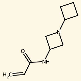 C=CC(=O)NC1CN(C2CCC2)C1